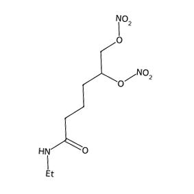 CCNC(=O)CCCC(CO[N+](=O)[O-])O[N+](=O)[O-]